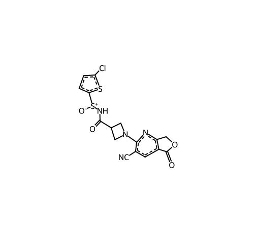 N#Cc1cc2c(nc1N1CC(C(=O)N[S+]([O-])c3ccc(Cl)s3)C1)COC2=O